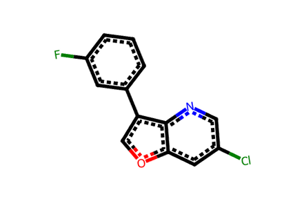 Fc1cccc(-c2coc3cc(Cl)cnc23)c1